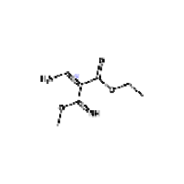 CCOC(=O)/C(=C/N)C(=N)OC